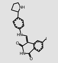 O=C1NC(=O)c2ccc(I)cc2/C1=C/Nc1ccc(C2CCCN2)cc1